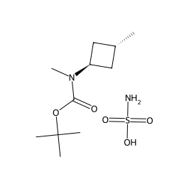 CN(C(=O)OC(C)(C)C)[C@H]1C[C@H](C)C1.NS(=O)(=O)O